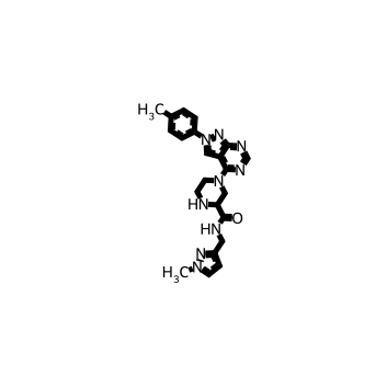 Cc1ccc(-n2cc3c(N4CCNC(C(=O)NCc5ccn(C)n5)C4)ncnc3n2)cc1